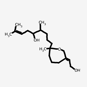 CC(C)=CCC(O)C(C)CCCC1(C)CCCC(=CCO)CO1